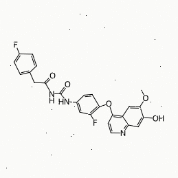 COc1cc2c(Oc3ccc(NC(=O)NC(=O)Cc4ccc(F)cc4)cc3F)ccnc2cc1O